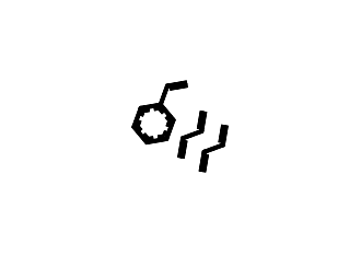 C=CC=C.C=CC=C.C=Cc1ccccc1